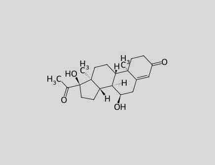 CC(=O)[C@@]1(O)CC[C@H]2[C@@H]3[C@H](O)CC4=CC(=O)CC[C@]4(C)[C@H]3CC[C@@]21C